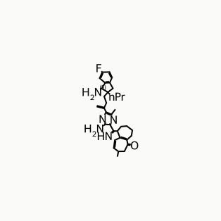 C=C(CCC1(CCC)Cc2ccc(F)cc2[C@H]1N)c1nc(N)c(C(=N)C2CCCCC3=C2C=CC(C)CC3=O)nc1C